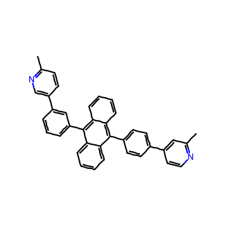 Cc1ccc(-c2cccc(-c3c4ccccc4c(-c4ccc(-c5ccnc(C)c5)cc4)c4ccccc34)c2)cn1